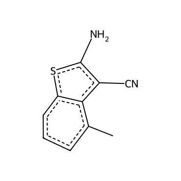 Cc1cccc2sc(N)c(C#N)c12